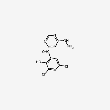 NNc1ccncn1.O=Cc1cc(Cl)cc(Cl)c1O